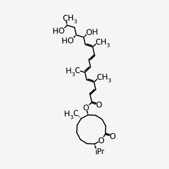 CC(=CC=CC(C)=C[C@H](O)[C@@H](O)C[C@H](C)O)C=C(C)C=CC(=O)O[C@H]1CCCC(=O)O[C@@H](C(C)C)CCCC[C@@H]1C